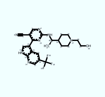 C[C@@H](Nc1ncc(C#N)c(-c2c[nH]c3ncc(C(F)(F)F)cc23)n1)C1CCN(CCO)CC1